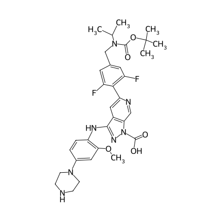 COc1cc(N2CCNCC2)ccc1Nc1nn(C(=O)O)c2cnc(-c3c(F)cc(CN(C(=O)OC(C)(C)C)C(C)C)cc3F)cc12